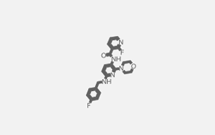 O=C(Nc1ccc(NCc2ccc(F)cc2)nc1N1CCOCC1)c1cccnc1F